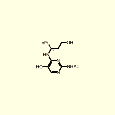 CCC[C@@H](CCO)Nc1nc(NC(C)=O)ncc1O